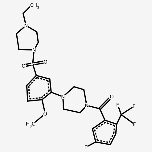 CCN1CCN(S(=O)(=O)c2ccc(OC)c(N3CCN(C(=O)c4cc(F)ccc4C(F)(F)F)CC3)c2)CC1